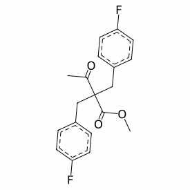 COC(=O)C(Cc1ccc(F)cc1)(Cc1ccc(F)cc1)C(C)=O